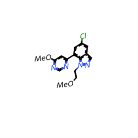 COCCn1ncc2cc(Cl)cc(-c3cc(OC)ncn3)c21